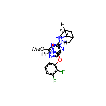 COc1cc(N2CC3C[C@@H](C2)[C@@H]3Nc2nc(Oc3cccc(F)c3F)n(C(C)C)n2)ccn1